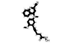 COC1=CC=C(N(C)c2cc(C#N)nc3ccccc23)CC1C#CCCC(=O)NO